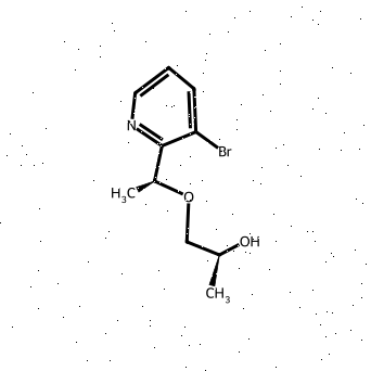 C[C@H](O)CO[C@@H](C)c1ncccc1Br